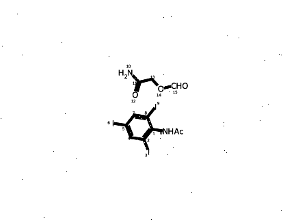 CC(=O)Nc1c(I)cc(I)cc1I.NC(=O)COC=O